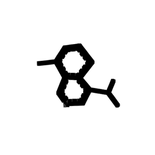 Cc1cccc2c(C(C)C)cncc12